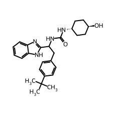 CC(C)(C)c1ccc(CC(NC(=O)N[C@H]2CC[C@H](O)CC2)c2nc3ccccc3[nH]2)cc1